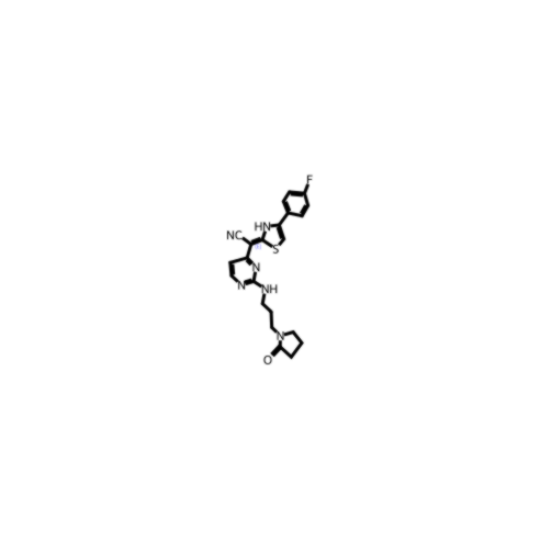 N#C/C(=C1\NC(c2ccc(F)cc2)=CS1)c1ccnc(NCCCN2CCCC2=O)n1